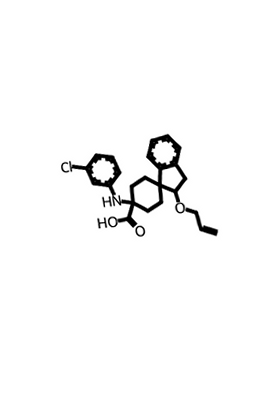 C=CCOC1Cc2ccccc2C12CCC(Nc1cccc(Cl)c1)(C(=O)O)CC2